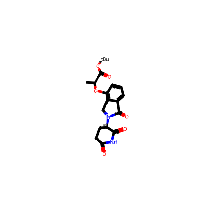 CC(Oc1cccc2c1CN([C@@H]1CCC(=O)NC1=O)C2=O)C(=O)OC(C)(C)C